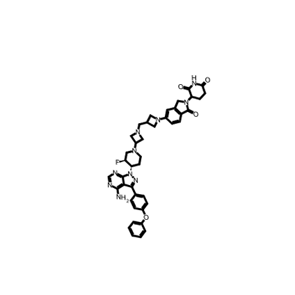 Nc1ncnc2c1c(-c1ccc(Oc3ccccc3)cc1)nn2[C@H]1CCN(C2CN(CC3CN(c4ccc5c(c4)CN(C4CCC(=O)NC4=O)C5=O)C3)C2)C[C@@H]1F